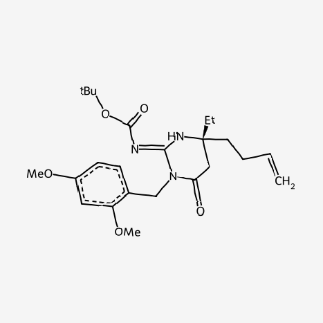 C=CCC[C@]1(CC)CC(=O)N(Cc2ccc(OC)cc2OC)/C(=N/C(=O)OC(C)(C)C)N1